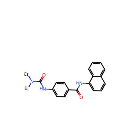 CCN(CC)C(=O)Nc1ccc(C(=O)Nc2cccc3ccccc23)cc1